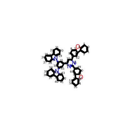 c1ccc2c(c1)oc1ccc(-c3cc(-c4cc(-n5c6ccccc6c6ccccc65)cc(-n5c6ccccc6c6ccccc65)c4)nc(-c4ccc5oc6ccccc6c5c4)n3)cc12